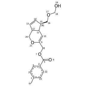 Cc1ccc(C(=O)OCC2=CC3C(C=C[C@H]3COCO)CO2)cc1